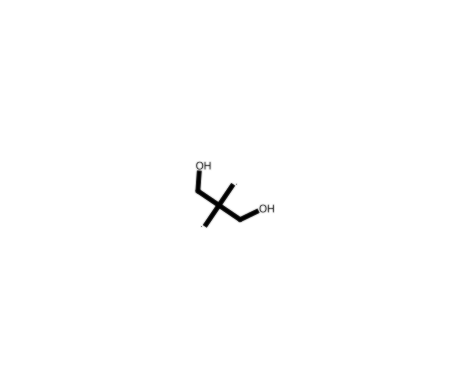 [CH2]C([CH2])(CO)CO